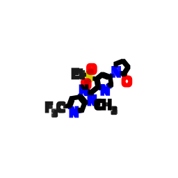 CCS(=O)(=O)c1cc(N2CCCC2=O)cnc1-c1nc2cc(C(F)(F)F)ncc2n1C